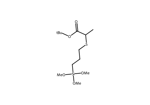 CO[Si](CCCSC(C)C(=O)OC(C)(C)C)(OC)OC